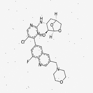 O[C@@H]1[C@@H]2OC[C@H](C[C@H]1Nc1ncc(Cl)c(-c3cc(F)c4ncc(CN5CCOCC5)cc4c3)n1)O2